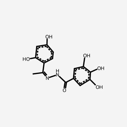 CC(=NNC(=O)c1cc(O)c(O)c(O)c1)c1ccc(O)cc1O